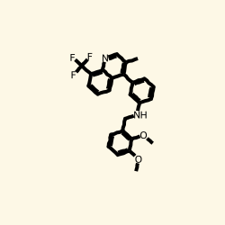 COc1cccc(CNc2cccc(-c3c(C)cnc4c(C(F)(F)F)cccc34)c2)c1OC